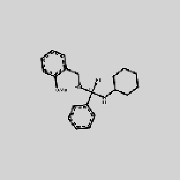 CC[C@@](NCc1ccccc1OC)(NC1CCCCC1)c1ccccc1